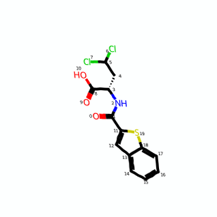 O=C(N[C@@H](CC(Cl)Cl)C(=O)O)c1cc2ccccc2s1